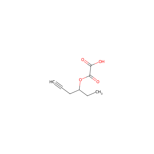 C#CCC(CC)OC(=O)C(=O)O